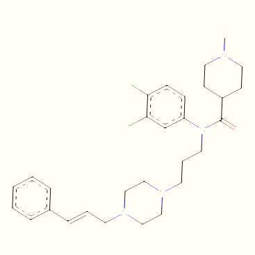 CC(=O)N1CCC(C(=O)N(CCCN2CCN(C/C=C/c3ccccc3)CC2)c2ccc(Cl)c(Cl)c2)CC1